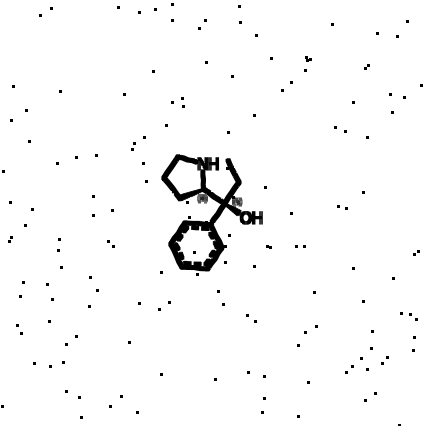 CC[C@](O)(c1ccccc1)[C@H]1CCCN1